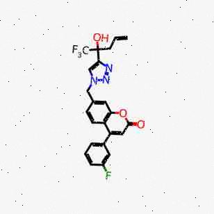 C=CCC(O)(c1cn(Cc2ccc3c(-c4cccc(F)c4)cc(=O)oc3c2)nn1)C(F)(F)F